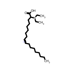 CCCCCCCC/C=C\CCCCCCC(C(=O)O)N(CC)CC